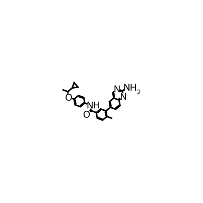 Cc1ccc(C(=O)Nc2ccc(OC(C)C3CC3)cc2)cc1-c1ccc2nc(N)ncc2c1